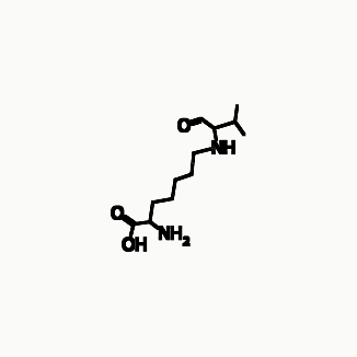 CC(C)C(C=O)NCCCCCC(N)C(=O)O